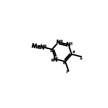 CNc1nnc(C)c(C)n1